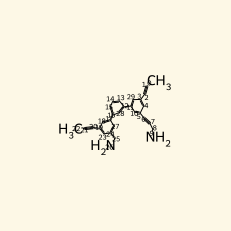 CC#Cc1cc(C#CCN)cc(-c2cccc(-c3cc(C#CC)cc(CN)c3)c2)c1